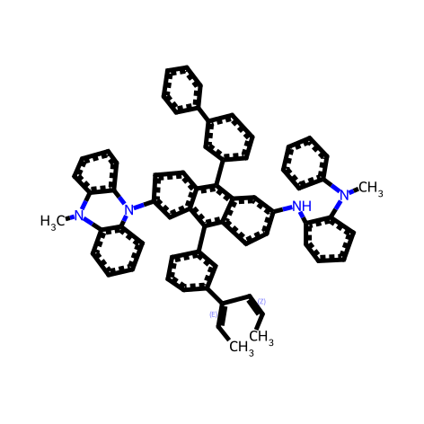 C/C=C\C(=C/C)c1cccc(-c2c3ccc(Nc4ccccc4N(C)c4ccccc4)cc3c(-c3cccc(-c4ccccc4)c3)c3ccc(N4c5ccccc5N(C)c5ccccc54)cc23)c1